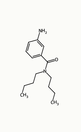 CCCCN(CCCC)C(=O)c1cccc(N)c1